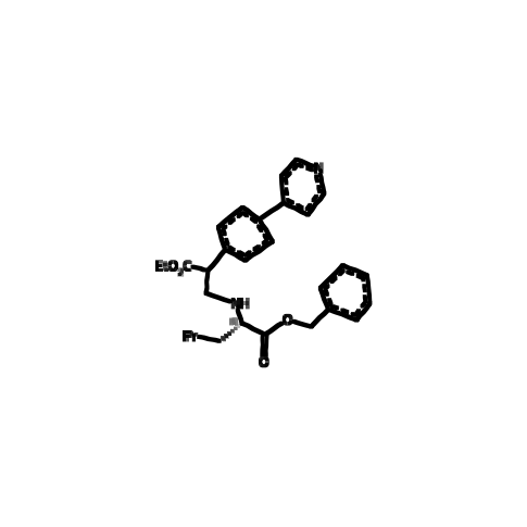 CCOC(=O)C(CN[C@@H](CC(C)C)C(=O)OCc1ccccc1)c1ccc(-c2ccncc2)cc1